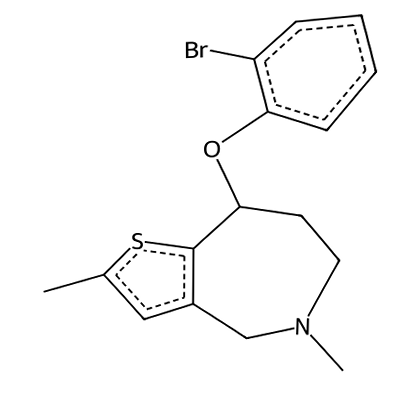 Cc1cc2c(s1)C(Oc1ccccc1Br)CCN(C)C2